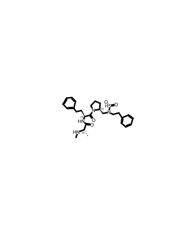 CN[C@@H](C)C(=O)N[C@@H](CCc1ccccc1)C(=O)N1CCC[C@H]1CN(CCc1ccccc1)[SH](=O)=O